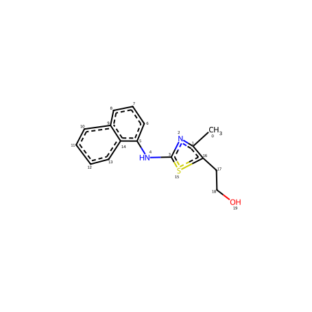 Cc1nc(Nc2cccc3ccccc23)sc1CCO